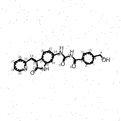 O=C(NC(=O)c1ccc(CO)cc1)Nc1ccc2c(c1)NC(=O)/C2=C\c1ccccn1